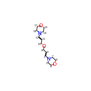 C(=CN1CCOCC1)COCC=CN1CCOCC1